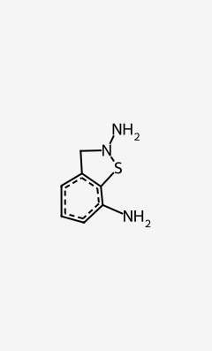 Nc1cccc2c1SN(N)C2